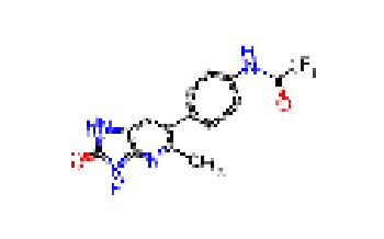 Cc1nc2[nH]c(=O)[nH]c2cc1-c1ccc(NC(=O)C(F)(F)F)cc1